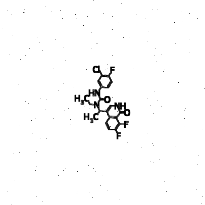 CCN(C(=O)Nc1ccc(F)c(Cl)c1)C(C)c1c[nH]c(=O)c2c(F)c(F)ccc12